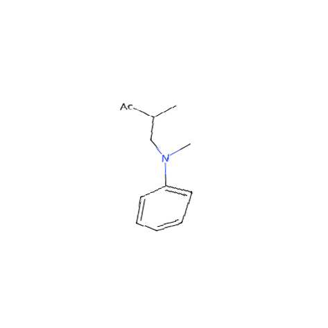 CC(=O)C(C)CN(C)c1ccccc1